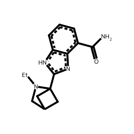 CCN1CC2CC1(c1nc3c(C(N)=O)cccc3[nH]1)C2